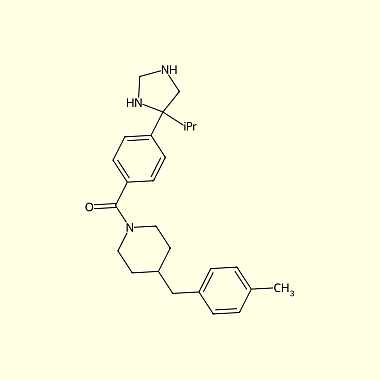 Cc1ccc(CC2CCN(C(=O)c3ccc(C4(C(C)C)CNCN4)cc3)CC2)cc1